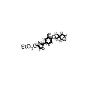 CCOC(=O)c1csc(-c2ccc(OCC3(C)CCOC3)c(C)c2)n1